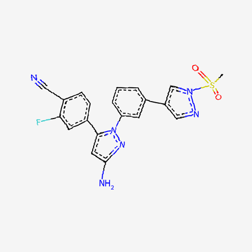 CS(=O)(=O)n1cc(-c2cccc(-n3nc(N)cc3-c3ccc(C#N)c(F)c3)c2)cn1